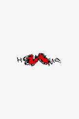 COC(=O)C1=C(CN2CCN3C(=O)N(c4ccc(Oc5ccc(C(=O)N(CCO)Cc6ccccc6)cc5)cc4)CC3C2)NC(c2nccs2)=NC1c1ccc(F)cc1Cl